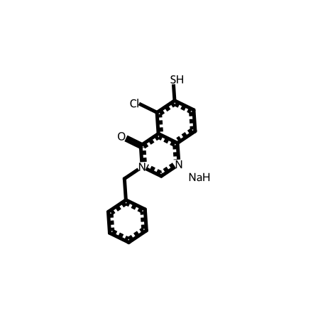 O=c1c2c(Cl)c(S)ccc2ncn1Cc1ccccc1.[NaH]